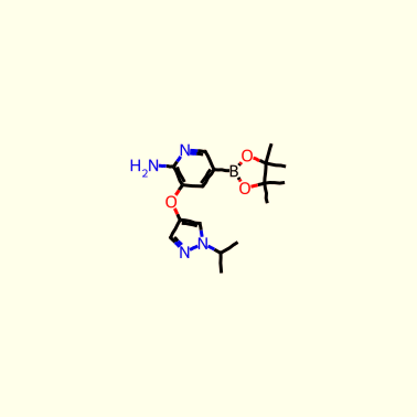 CC(C)n1cc(Oc2cc(B3OC(C)(C)C(C)(C)O3)cnc2N)cn1